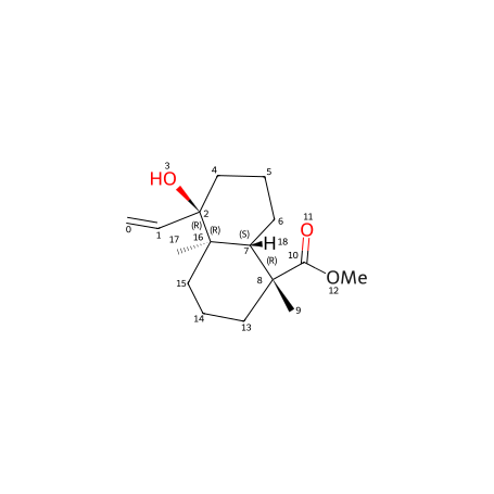 C=C[C@]1(O)CCC[C@@H]2[C@](C)(C(=O)OC)CCC[C@]21C